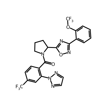 O=C(c1ccc(C(F)(F)F)cc1-n1nccn1)N1CCCC1c1nc(-c2ccccc2OC(F)(F)F)no1